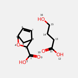 O=C(O)C1OC2C=CC1C2.O=C(O)CCCO